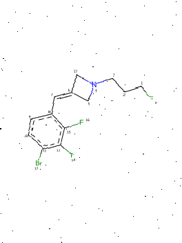 FCCCN1CC(=Cc2ccc(Br)c(F)c2F)C1